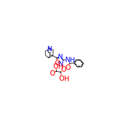 O=C(Nc1noc(C2CN3CCC2CC3)n1)c1ccccc1.O=C(O)C(=O)O